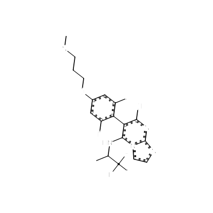 CNCCCOc1cc(F)c(-c2c(Cl)nc3nccn3c2NC(C)C(F)(F)F)c(F)c1